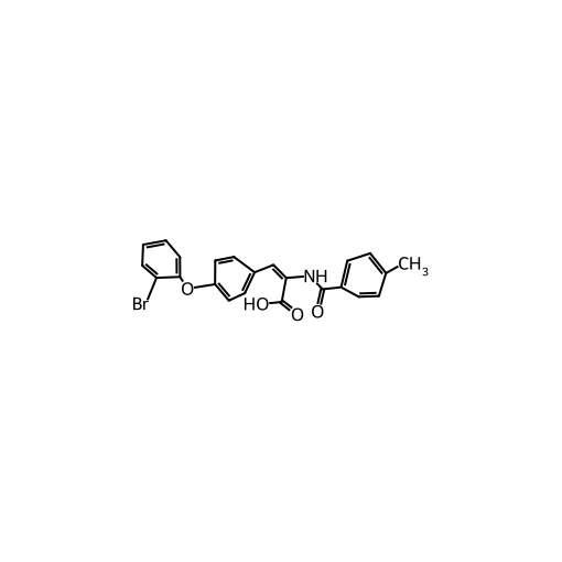 Cc1ccc(C(=O)N/C(=C/c2ccc(Oc3ccccc3Br)cc2)C(=O)O)cc1